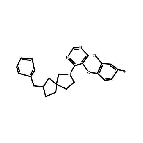 Fc1ccc(Oc2cncnc2N2CCC3(CCC(Cc4ccccc4)C3)C2)c(Cl)c1